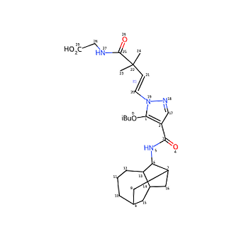 CC(C)COc1c(C(=O)NC2C3CC4CCCC2C(C4)C3)cnn1/C=C/C(C)(C)C(=O)NCC(=O)O